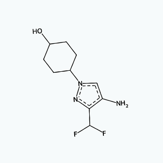 Nc1cn(C2CCC(O)CC2)nc1C(F)F